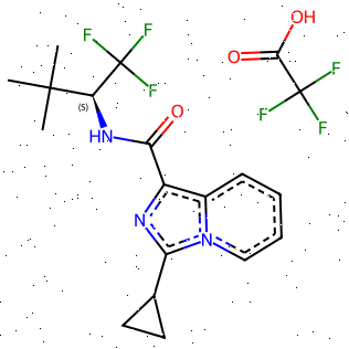 CC(C)(C)[C@H](NC(=O)c1nc(C2CC2)n2ccccc12)C(F)(F)F.O=C(O)C(F)(F)F